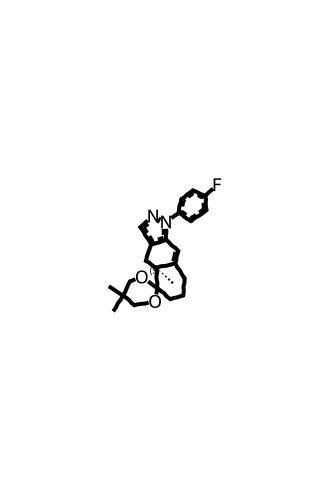 CC1(C)COC2(CCCC3=Cc4c(cnn4-c4ccc(F)cc4)C[C@@]32C)OC1